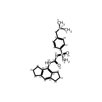 CN(C)Cc1ccc(S(N)(=O)=NC(=O)Nc2c3c(cc4c2CCC4)CCC3)cc1